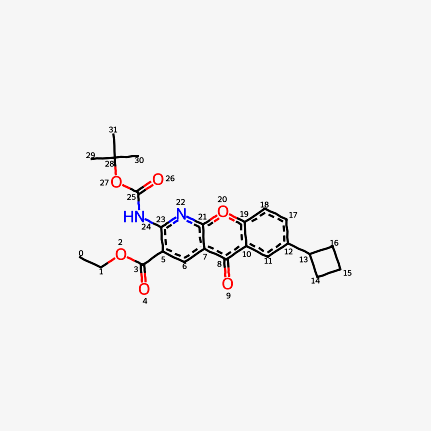 CCOC(=O)c1cc2c(=O)c3cc(C4CCC4)ccc3oc2nc1NC(=O)OC(C)(C)C